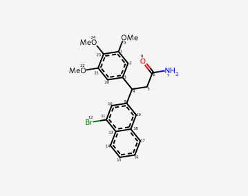 COc1cc(C(CC(N)=O)c2cc(Br)c3ccccc3c2)cc(OC)c1OC